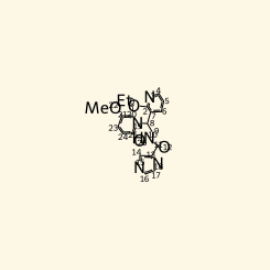 CCOc1ncccc1C(CNC(=O)c1cnccn1)n1cc(OC)ccc1=O